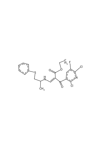 CCOC(=O)C(=CNC(C)CSc1ccccc1)C(=O)c1cc(F)c(Cl)nc1Cl